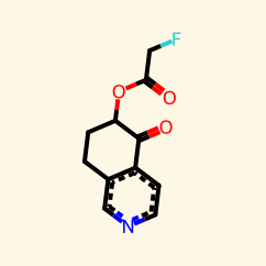 O=C(CF)OC1CCc2cnccc2C1=O